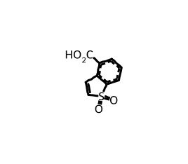 O=C(O)c1cccc2c1C=CS2(=O)=O